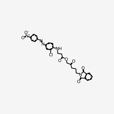 O=C(CCCN1C(=O)c2ccccc2C1=O)COC(=O)CCNc1ccc(/N=N/c2ccc([N+](=O)[O-])cc2)cc1Cl